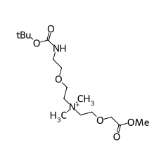 COC(=O)COCC[N+](C)(C)CCOCCNC(=O)OC(C)(C)C